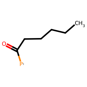 CCCCCC(=O)[P]